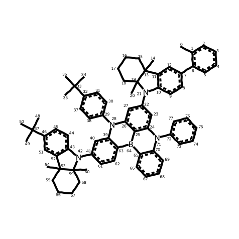 Cc1ccccc1-c1ccc2c(c1)C1(C)CCCCC1(C)N2c1cc2c3c(c1)N(c1ccc(C(C)(C)C)cc1)c1cc(N4c5ccc(C(C)(C)C)cc5C5(C)CCCCC45C)ccc1B3c1ccccc1N2c1ccccc1